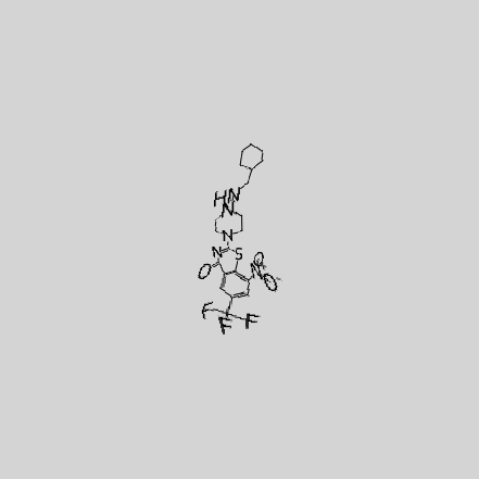 O=c1nc(N2CCN(NCC3CCCCC3)CC2)sc2c([N+](=O)[O-])cc(C(F)(F)F)cc12